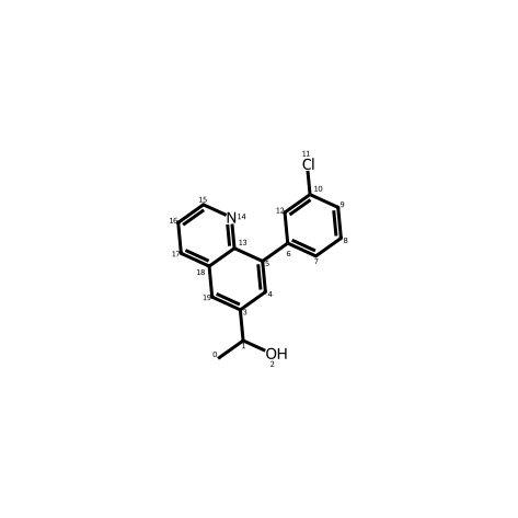 CC(O)c1cc(-c2cccc(Cl)c2)c2ncccc2c1